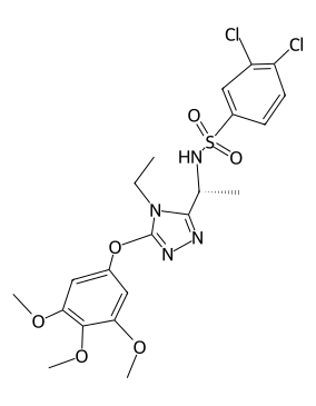 CCn1c(Oc2cc(OC)c(OC)c(OC)c2)nnc1[C@@H](C)NS(=O)(=O)c1ccc(Cl)c(Cl)c1